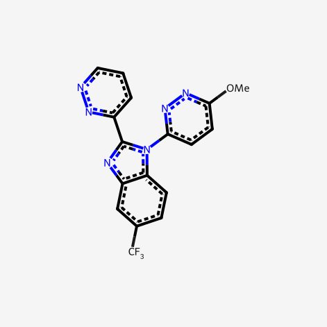 COc1ccc(-n2c(-c3cccnn3)nc3cc(C(F)(F)F)ccc32)nn1